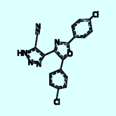 N#Cc1[nH]nnc1-c1nc(-c2ccc(Cl)cc2)oc1-c1ccc(Cl)cc1